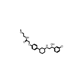 COCCNC(=O)COc1ccc(C2CCCC(NC[C@H](O)c3cccc(Cl)c3)C2)cc1